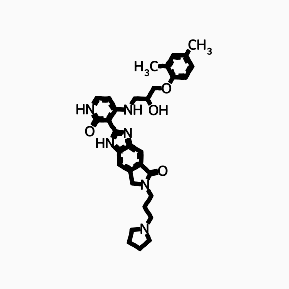 Cc1ccc(OCC(O)CNc2cc[nH]c(=O)c2-c2nc3cc4c(cc3[nH]2)CN(CCCN2CCCC2)C4=O)c(C)c1